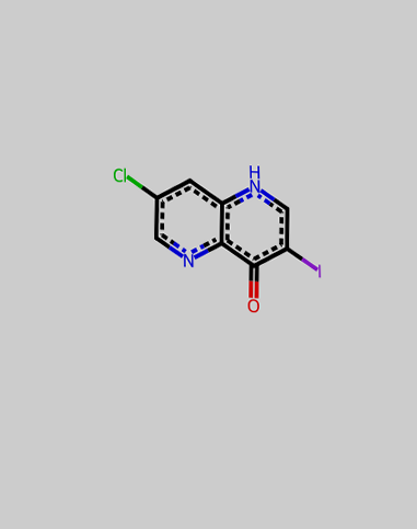 O=c1c(I)c[nH]c2cc(Cl)cnc12